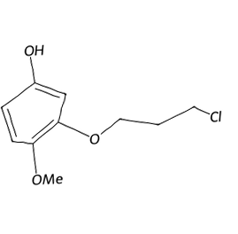 COc1c[c]c(O)cc1OCCCCl